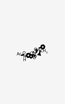 CC(=O)CC(=O)Nc1ccc2c(c1)CC(=O)C21OCN(CC(=O)N(Cc2ccccc2)C(C)C2CC2)C1=O